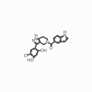 O=C(c1ccc2[nH]ccc2c1)N1CCc2[nH]nc(-c3cc(Cl)c(O)cc3O)c2C1